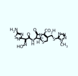 Cn1nnnc1SCC1=C(C(=O)O)N2C(=O)C(NC(=O)C(=NO)c3nsc(N)n3)[C@@H]2SC1